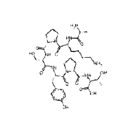 C[C@H](N)C(=O)N[C@@H](CCCCN)C(=O)N1CCC[C@H]1C(=O)N[C@@H](CO)C(=O)N[C@@H](Cc1ccc(O)cc1)C(=O)N1CCC[C@H]1C(=O)N[C@H](C(=O)O)[C@@H](C)O